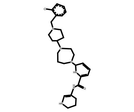 O=C(NC1=CNCCC1)C1=CC=CC(N2CCCN(C3CCN(Cc4ccccc4Cl)CC3)CC2)N1